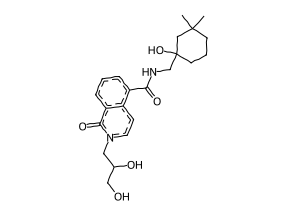 CC1(C)CCCC(O)(CNC(=O)c2cccc3c(=O)n(CC(O)CO)ccc23)C1